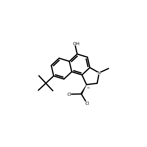 CN1C[C@@H](C(Cl)Cl)c2c1cc(O)c1ccc(C(C)(C)C)cc21